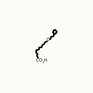 O=C(O)CCC/C=C\CCCCCCCOCCCc1ccccc1